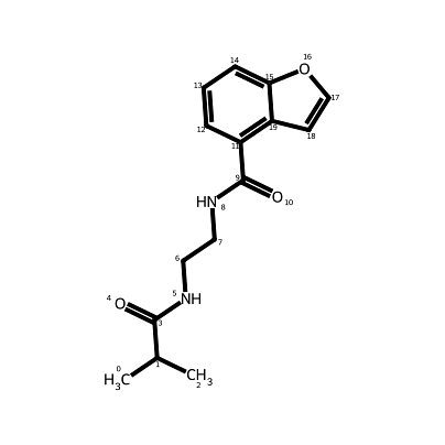 CC(C)C(=O)NCCNC(=O)c1cccc2occc12